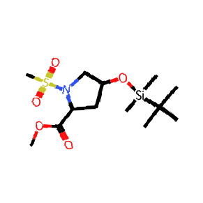 COC(=O)C1CC(O[Si](C)(C)C(C)(C)C)CN1S(C)(=O)=O